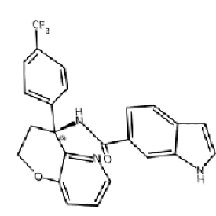 O=C(N[C@]1(c2ccc(C(F)(F)F)cc2)CCOc2cccnc21)c1ccc2cc[nH]c2c1